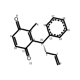 C=CC[C@H](C1=C(C)C(=O)C=CC1=O)c1ccccc1